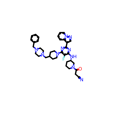 N#CCC(=O)N1CCC[C@@H](Nc2nc(-c3cnn4ccccc34)nc(N3CCC(CN4CCN(Cc5ccccc5)CC4)CC3)c2F)C1